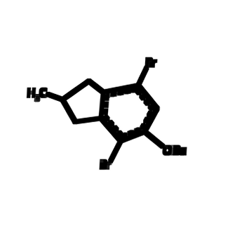 CC(C)COc1cc(Br)c2c(c1Br)CC(C)C2